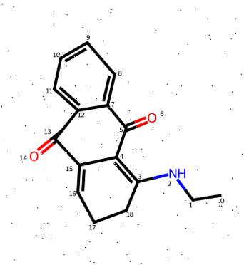 CCNC1=C2C(=O)c3ccccc3C(=O)C2=CCC1